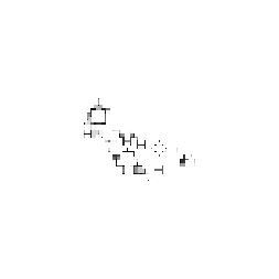 Cc1ccc(NC(=O)C[C@H](CC(=O)O)c2nnn([C@H]3C[C@@H](CC(C)C)C3)c2C2CC2)c(C)c1